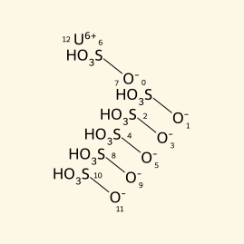 O=S(=O)([O-])O.O=S(=O)([O-])O.O=S(=O)([O-])O.O=S(=O)([O-])O.O=S(=O)([O-])O.O=S(=O)([O-])O.[U+6]